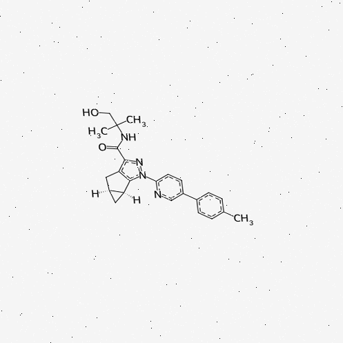 Cc1ccc(-c2ccc(-n3nc(C(=O)NC(C)(C)CO)c4c3[C@H]3C[C@H]3C4)nc2)cc1